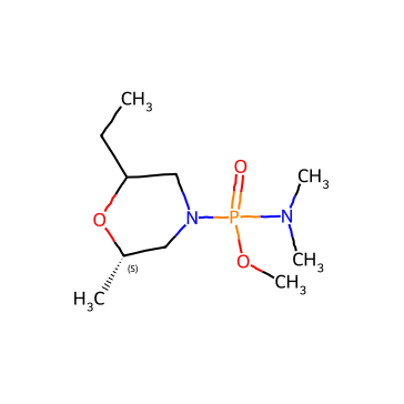 CCC1CN(P(=O)(OC)N(C)C)C[C@H](C)O1